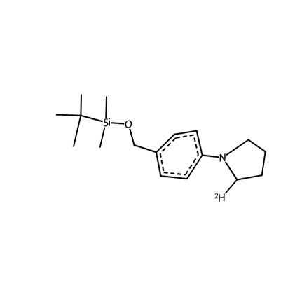 [2H]C1CCCN1c1ccc(CO[Si](C)(C)C(C)(C)C)cc1